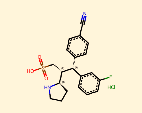 Cl.N#Cc1ccc([C@H](c2cccc(F)c2)[C@@H](CS(=O)(=O)O)[C@H]2CCCN2)cc1